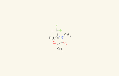 CC(=O)C(=O)N(C)[C@H](C)C(F)(F)F